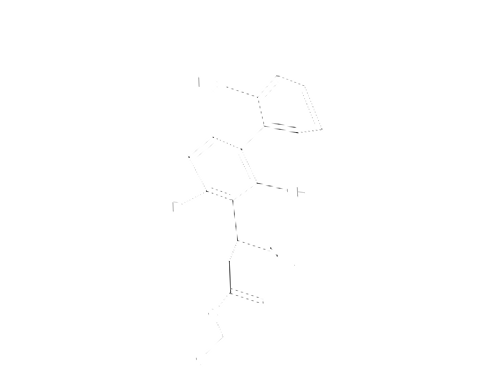 CCOC(=O)CC(N)c1c(F)ccc(-c2ccccc2C)c1C